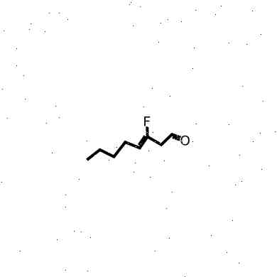 CCCCC=C(F)CC=O